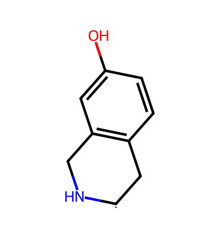 Oc1ccc2c(c1)CN[CH]C2